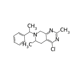 Cc1nc(Cl)c2c(n1)CN(C(C)c1ccccc1)C(C)C2